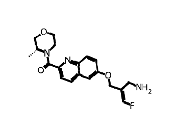 C[C@@H]1COCCN1C(=O)c1ccc2cc(OC/C(=C/F)CN)ccc2n1